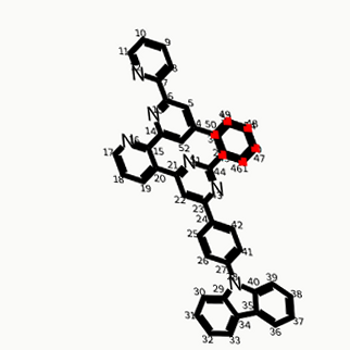 c1ccc(-c2cc(-c3ccccn3)nc(-c3ncccc3-c3cc(-c4ccc(-n5c6ccccc6c6ccccc65)cc4)nc(-c4ccccc4)n3)c2)cc1